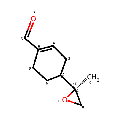 C[C@]1(C2CC=C(C=O)CC2)CO1